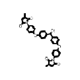 CCC(c1ccc(Oc2ccc(N3C(=O)C=C(C)C3=O)cc2)cc1)c1ccc(Oc2ccc(N3C(=O)C=C(C)C3=O)cc2)cc1